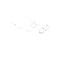 C#CCNCC1CN(C(=O)c2cc(Cc3n[nH]c(=O)c4ccccc34)ccc2F)C1.Cl